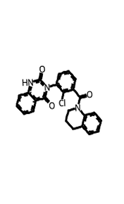 O=C(c1cccc(-n2c(=O)[nH]c3ccccc3c2=O)c1Cl)N1CCCc2ccccc21